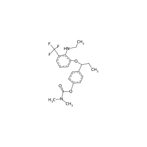 CCNc1c(OC(CC)c2ccc(OC(=O)N(C)C)cc2)cccc1C(F)(F)F